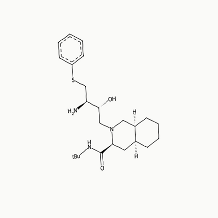 CC(C)(C)NC(=O)[C@@H]1C[C@@H]2CCCC[C@@H]2CN1C[C@@H](O)[C@@H](N)CSc1ccccc1